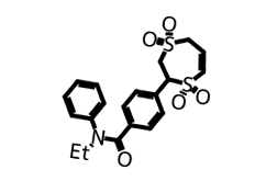 CCN(C(=O)c1ccc(C2CS(=O)(=O)CC=CS2(=O)=O)cc1)c1ccccc1